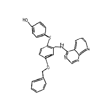 Oc1ccc(Sc2ccc(OCc3ccccc3)cc2Nc2ncnc3ncccc23)cc1